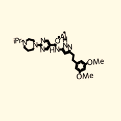 COc1cc(CCc2cc(NC(=O)c3cnc(N4CCCN(C(C)C)CC4)nc3)[nH]n2)cc(OC)c1.[CH3][Al]([CH3])[CH3]